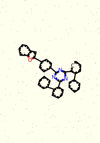 c1ccc(-c2ccccc2-c2nc(-c3ccc(-c4cc5ccccc5o4)cc3)nc(-c3ccccc3-c3ccccc3)n2)cc1